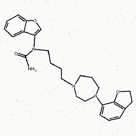 NC(=O)N(CCCCN1CCCN(c2cccc3c2OCC3)CC1)c1coc2ccccc12